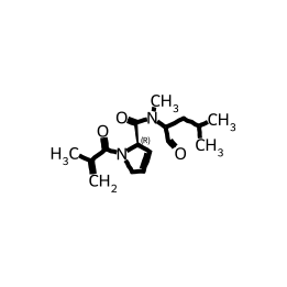 C=C(C)C(=O)N1CC=C[C@@H]1C(=O)N(C)C(C=O)CC(C)C